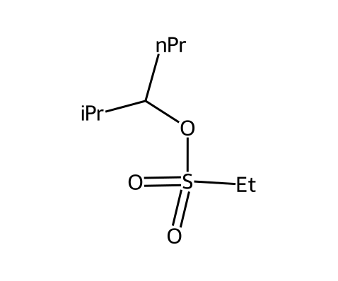 CCCC(OS(=O)(=O)CC)C(C)C